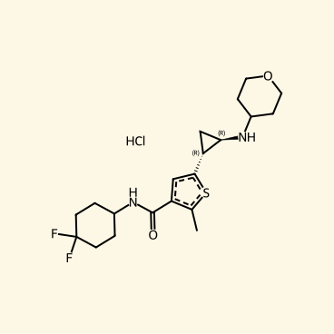 Cc1sc([C@@H]2C[C@H]2NC2CCOCC2)cc1C(=O)NC1CCC(F)(F)CC1.Cl